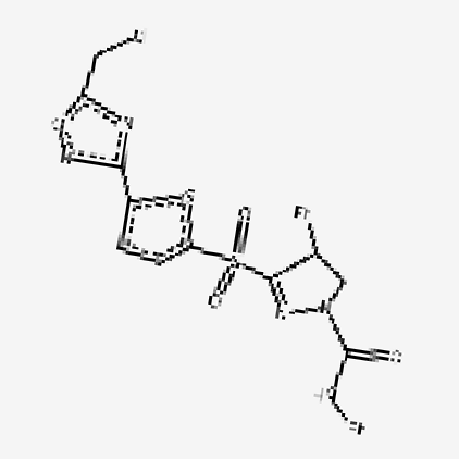 CCNC(=O)N1CC(CC)C(S(=O)(=O)c2ccc(-c3noc(CCl)n3)s2)=N1